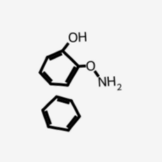 NOc1ccccc1O.c1ccccc1